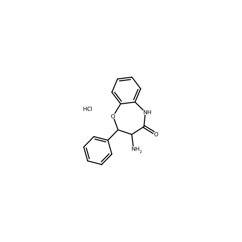 Cl.NC1C(=O)Nc2ccccc2OC1c1ccccc1